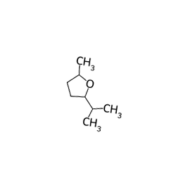 CC1CCC(C(C)C)O1